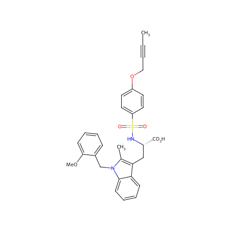 CC#CCOc1ccc(S(=O)(=O)N[C@@H](Cc2c(C)n(Cc3ccccc3OC)c3ccccc23)C(=O)O)cc1